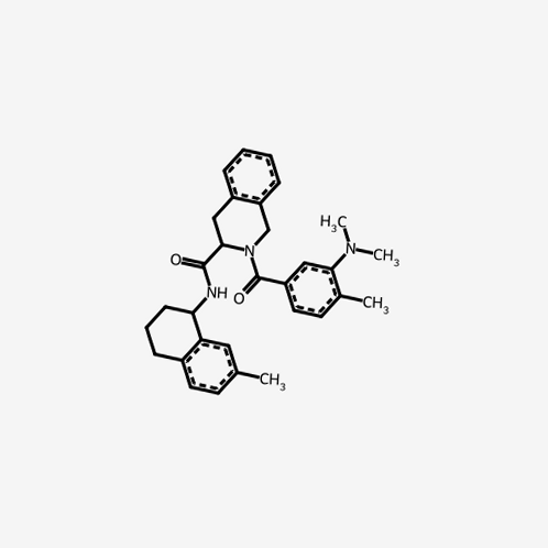 Cc1ccc2c(c1)C(NC(=O)C1Cc3ccccc3CN1C(=O)c1ccc(C)c(N(C)C)c1)CCC2